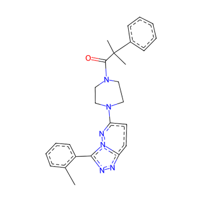 Cc1ccccc1-c1nnc2ccc(N3CCN(C(=O)C(C)(C)c4ccccc4)CC3)nn12